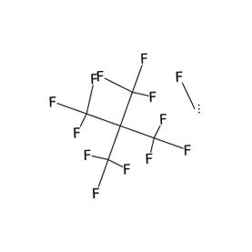 FC(F)(F)C(C(F)(F)F)(C(F)(F)F)C(F)(F)F.[C]F